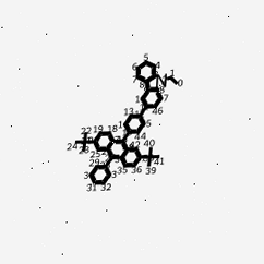 CCn1c2ccccc2c2cc(-c3ccc(-c4c5ccc(C(C)(C)C)cc5c(-c5ccccc5)c5ccc(C(C)(C)C)cc45)cc3)ccc21